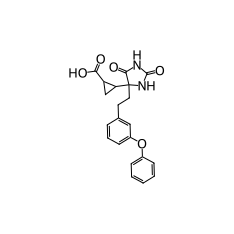 O=C1NC(=O)C(CCc2cccc(Oc3ccccc3)c2)(C2CC2C(=O)O)N1